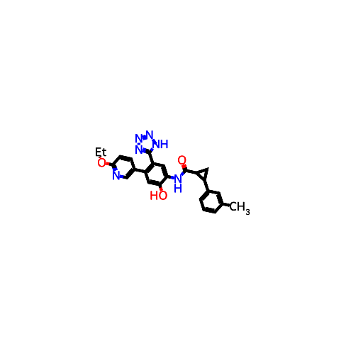 CCOc1ccc(-c2cc(O)c(NC(=O)C3CC3c3cccc(C)c3)cc2-c2nnn[nH]2)cn1